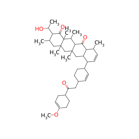 COC1=CCC(C(=O)CC2C=CC(C3C=CC(C)C4C(=O)C5C(C)C6(C)C(=O)C(C(C)O)C(C)CC6(C)CC5(C)CC34)CC2)CC1